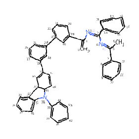 C=C(/N=C(\N=C(/C)c1ccccc1)c1ccccc1)c1cccc(-c2cccc(C3=CC4c5ccccc5N(c5ccccc5)C4C=C3)c2)c1